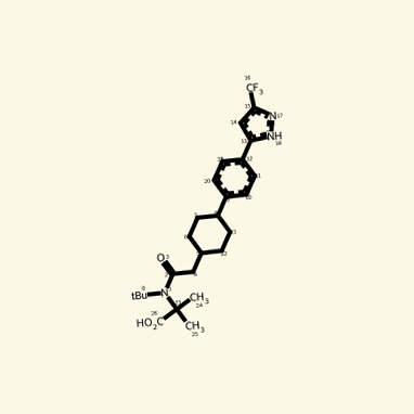 CC(C)(C)N(C(=O)CC1CCC(c2ccc(-c3cc(C(F)(F)F)n[nH]3)cc2)CC1)C(C)(C)C(=O)O